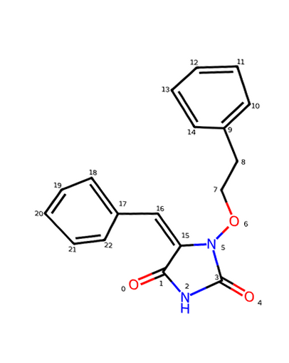 O=C1NC(=O)N(OCCc2ccccc2)C1=Cc1ccccc1